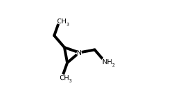 CCC1C(C)N1CN